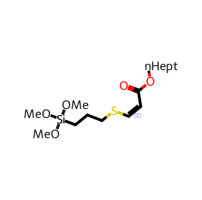 CCCCCCCOC(=O)/C=C\SCCC[Si](OC)(OC)OC